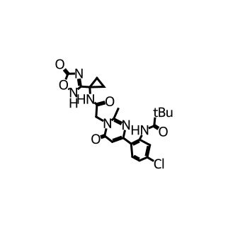 Cc1nc(-c2ccc(Cl)cc2NC(=O)C(C)(C)C)cc(=O)n1CC(=O)NC1(c2nc(=O)o[nH]2)CC1